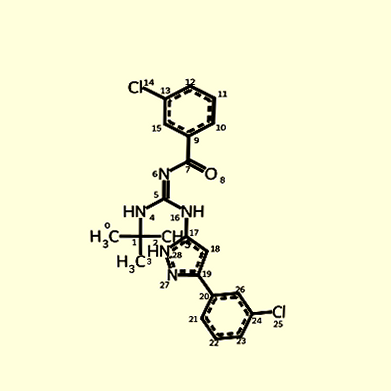 CC(C)(C)N/C(=N/C(=O)c1cccc(Cl)c1)Nc1cc(-c2cccc(Cl)c2)n[nH]1